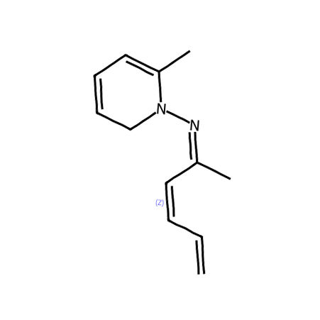 C=C/C=C\C(C)=NN1CC=CC=C1C